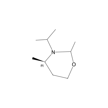 CC(C)N1C(C)OCC[C@H]1C